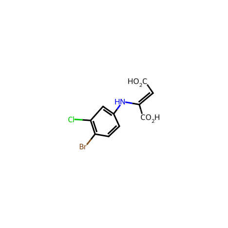 O=C(O)/C=C(\Nc1ccc(Br)c(Cl)c1)C(=O)O